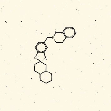 c1ccc2c(c1)CCN(Cc1ccc3c(c1)C[C@]1(CCN4CCCCC4C1)O3)C2